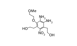 COCCOc1c(N)c(N)c(CCO)c([N+](=O)[O-])c1CCO